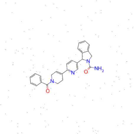 NC(=O)N1Cc2ccccc2C1c1ccc(C2=CCN(C(=O)c3ccccc3)CC2)nc1